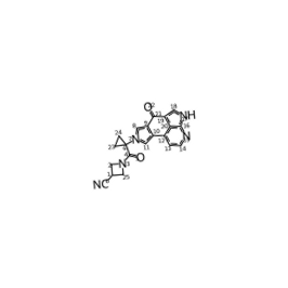 N#CC1CN(C(=O)C2(n3cc4c(c3)-c3ccnc5[nH]cc(c35)C4=O)CC2)C1